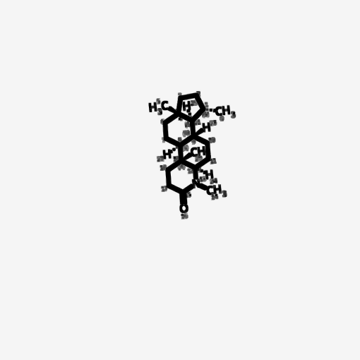 C[C@H]1CC[C@@]2(C)CC[C@H]3[C@@H](CC[C@H]4N(C)C(=O)CC[C@]34C)[C@H]12